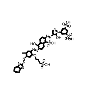 Cc1cc(N=Nc2ccc3c(S(=O)(=O)O)c(N=Nc4cnn(-c5cc(S(=O)(=O)O)cc(S(=O)(=O)O)c5)c4O)ccc3c2O)c(OCCCS(=O)(=O)O)cc1N=Nc1nc2ccccc2s1